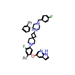 CC(=O)c1cc(F)c(N2CCC3(CC2)CC(N2CCN(Cc4ccc(F)cc4)C[C@H]2c2ccccc2C(C)C)C3)cc1Oc1cnc2[nH]ccc2c1